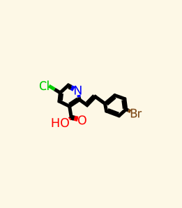 O=C(O)c1cc(Cl)cnc1C=Cc1ccc(Br)cc1